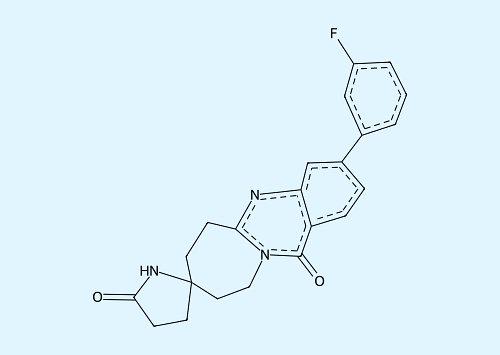 O=C1CCC2(CCc3nc4cc(-c5cccc(F)c5)ccc4c(=O)n3CC2)N1